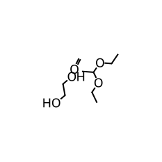 C=O.CCOC(C)OCC.OCCO